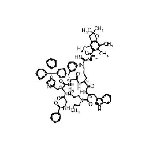 CCCN(CCC)C(=O)[C@H](Cc1c[nH]c2ccccc12)NC(=O)[C@H](CCCNC(=N)NS(=O)(=O)c1c(C)c(C)c2c(c1C)CC(C)(C)O2)NC(=O)[C@@H](Cc1ccccc1)NC(=O)[C@H](Cc1cn(C(c2ccccc2)(c2ccccc2)c2ccccc2)cn1)NC(=O)CNC(=O)c1ccccc1